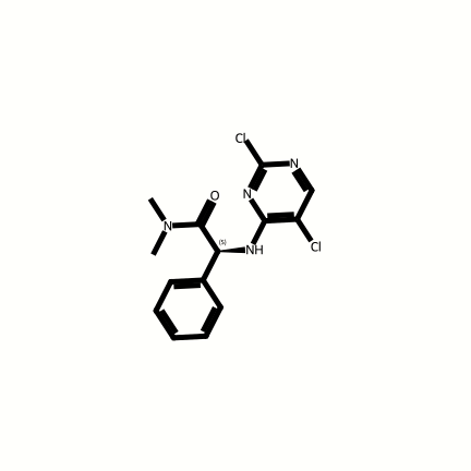 CN(C)C(=O)[C@@H](Nc1nc(Cl)ncc1Cl)c1ccccc1